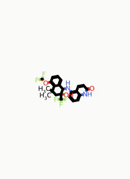 CC1(C)CC(O)(C(F)(F)F)C(Nc2cccc3[nH]c(=O)ccc23)c2cccc(OC(F)F)c21